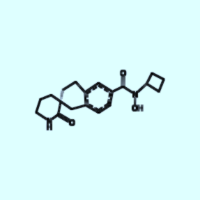 O=C(c1ccc2c(c1)CC[C@]1(CCCNC1=O)C2)N(O)C1CCC1